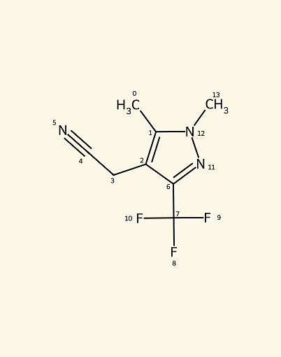 Cc1c(CC#N)c(C(F)(F)F)nn1C